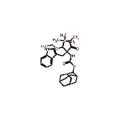 CCOC(C(Cc1c[nH]c2ccccc12)(NC(=O)OC1C2CC3CC(C2)CC1C3)C(=O)OC)[Si](C)(C)C